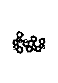 C1=Cc2c(c3ccc4sc5ccccc5c4c3n2-c2cccc(-c3ccccc3-n3c4ccccc4c4ccc5sc6ccccc6c5c43)c2)CC1